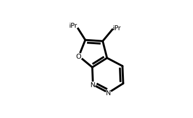 CC(C)c1oc2nnccc2c1C(C)C